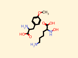 COc1ccc(CC(N)C(=O)O)cc1.NCCCCC(NO)C(=O)O